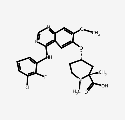 COc1cc2ncnc(Nc3cccc(Cl)c3F)c2cc1O[C@H]1CCN(C)[C@@](C)(C(=O)O)C1